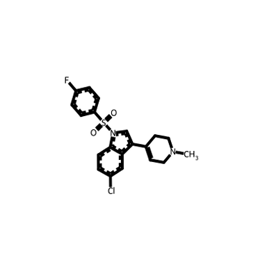 CN1CC=C(c2cn(S(=O)(=O)c3ccc(F)cc3)c3ccc(Cl)cc23)CC1